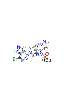 CC(C)(C)[S@+]([O-])N[C@@H]1c2ccnn2CC12CCN(c1ncc(Br)n3cncc13)CC2